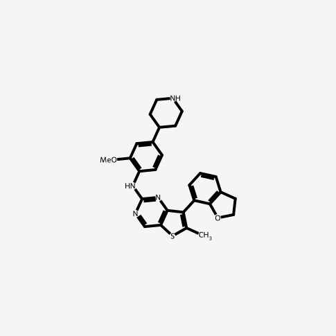 COc1cc(C2CCNCC2)ccc1Nc1ncc2sc(C)c(-c3cccc4c3OCC4)c2n1